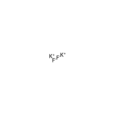 [F-].[F-].[K+].[K+]